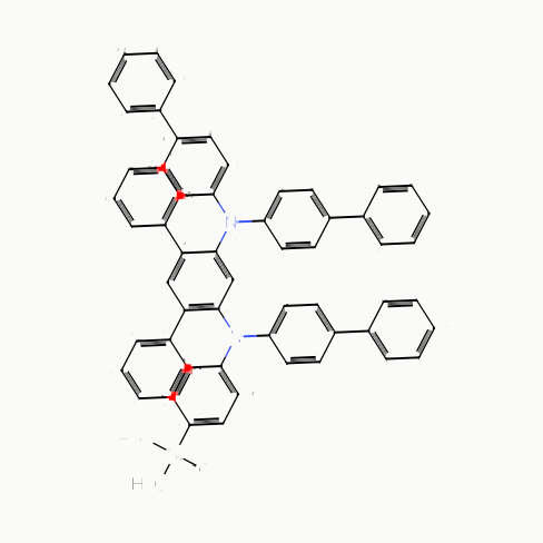 C[Si](C)(C)c1ccc(N(c2ccc(-c3ccccc3)cc2)c2cc(N(c3ccc(-c4ccccc4)cc3)c3ccc(-c4ccccc4)cc3)c(-c3ccccc3)cc2-c2ccccc2)cc1